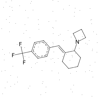 FC(F)(F)c1ccc(C=C2CCCCC2N2CCC2)cc1